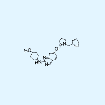 OC1CCC(Nc2ncc3ccc(OC[C@@H]4CCCN4Cc4ccccc4)cc3n2)CC1